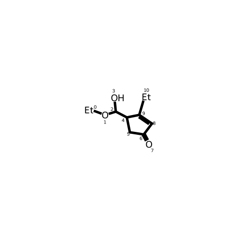 CCOC(O)C1CC(=O)C=C1CC